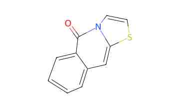 O=c1c2ccccc2cc2sccn12